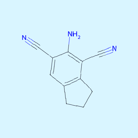 N#Cc1cc2c(c(C#N)c1N)CCC2